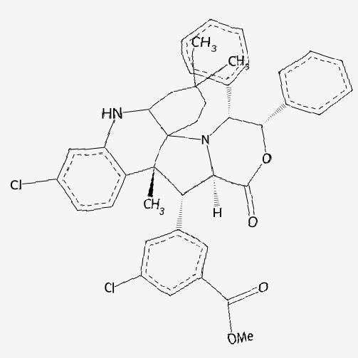 COC(=O)c1cc(Cl)cc([C@H]2[C@@H]3C(=O)O[C@@H](c4ccccc4)[C@@H](c4ccccc4)N3C34CCC(C)(C)CC3Nc3cc(Cl)ccc3[C@@]24C)c1